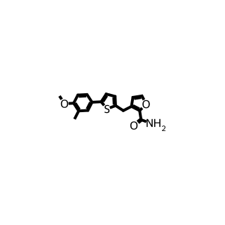 COc1ccc(-c2ccc(Cc3ccoc3C(N)=O)s2)cc1C